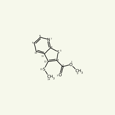 COC(=O)c1sc2ncccc2c1SC